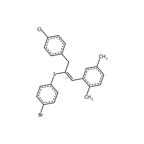 Cc1ccc(C)c(/C=C(\Cc2ccc(Cl)cc2)Sc2ccc(Br)cc2)c1